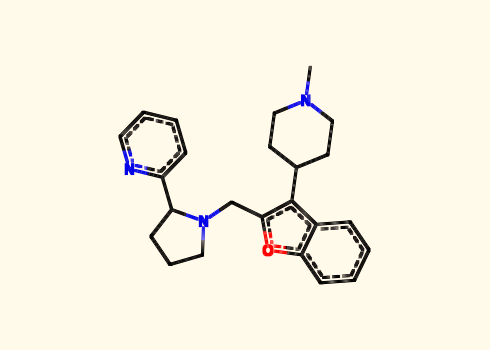 CN1CCC(c2c(CN3CCCC3c3ccccn3)oc3ccccc23)CC1